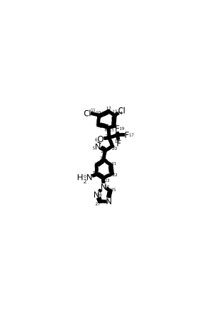 Nc1cc(C2=NOC(c3cc(Cl)cc(Cl)c3)(C(F)(F)F)C2)ccc1-n1cncn1